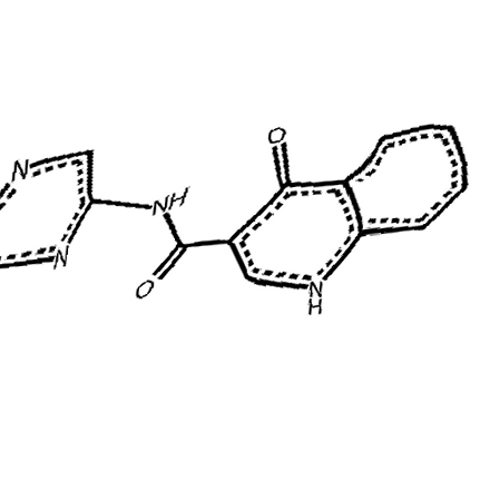 O=C(Nc1cnccn1)c1c[nH]c2ccccc2c1=O